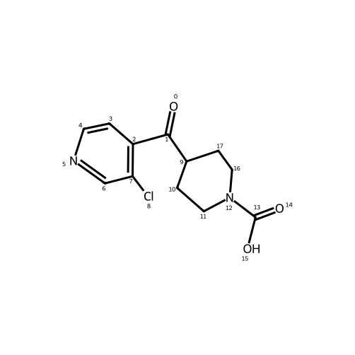 O=C(c1ccncc1Cl)C1CCN(C(=O)O)CC1